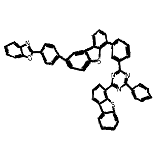 c1ccc(-c2nc(-c3cccc(-c4cccc5c4sc4ccc(-c6ccc(-c7nc8ccccc8o7)cc6)cc45)c3)nc(-c3cccc4c3sc3ccccc34)n2)cc1